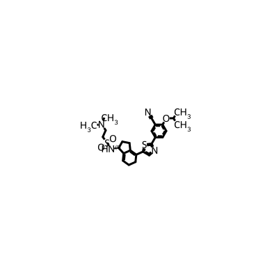 CC(C)Oc1ccc(-c2ncc(C3=C4CC[C@H](NS(=O)(=O)CCN(C)C)C4=CCC3)s2)cc1C#N